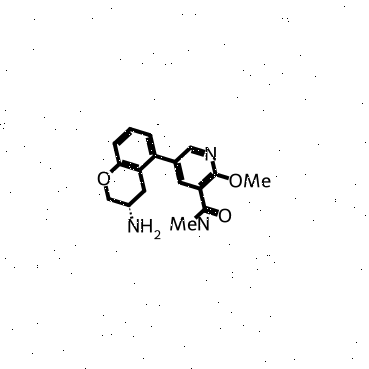 CNC(=O)c1cc(-c2cccc3c2C[C@H](N)CO3)cnc1OC